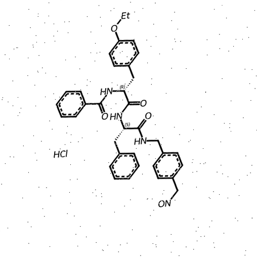 CCOc1ccc(C[C@@H](NC(=O)c2ccccc2)C(=O)N[C@@H](Cc2ccccc2)C(=O)NCc2ccc(CN=O)cc2)cc1.Cl